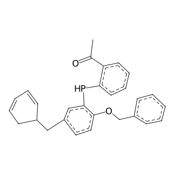 CC(=O)c1ccccc1Pc1cc(CC2C=CC=CC2)ccc1OCc1ccccc1